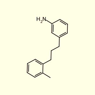 Cc1ccccc1CCCc1cccc(N)c1